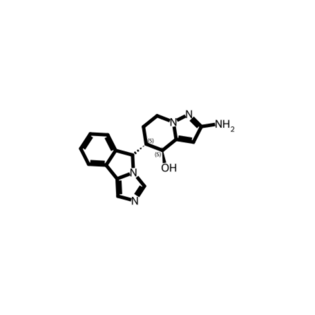 Nc1cc2n(n1)CC[C@@H](C1c3ccccc3-c3cncn31)[C@@H]2O